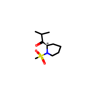 CC(C)C(=O)[C@@H]1CCCCN1S(C)(=O)=O